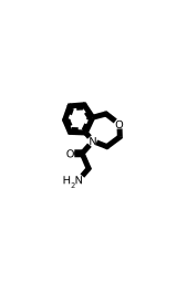 NCC(=O)N1CCOCc2ccccc21